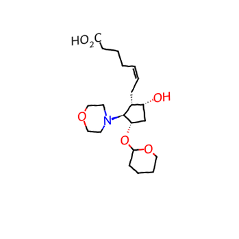 O=C(O)CCC/C=C\C[C@H]1[C@H](N2CCOCC2)[C@@H](OC2CCCCO2)C[C@H]1O